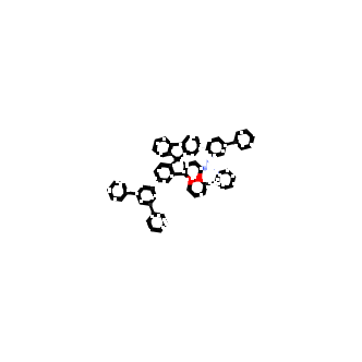 c1ccc(-c2cc(-c3ccccc3)cc(-c3ccc4c(c3)-c3ccc(N(c5cccc(-c6ccccc6)c5)c5ccccc5-c5ccccc5)cc3C43c4ccccc4-c4ccccc43)c2)cc1